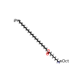 CCCCCCCC/C=C\CCCCCCCC(=O)OCCCCCCCCCCCCCCCCCCCCCCCCCCC(C)C